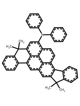 CC1(C)c2ccccc2-c2c1cc1cc3c4c(cc(N(c5ccccc5)c5ccccc5)c5ccc2c1c54)C(C)(C)c1ccccc1-3